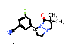 CC1(C)CN2CC[C@@H](c3cc(F)cc(C#N)c3)N2C1=O